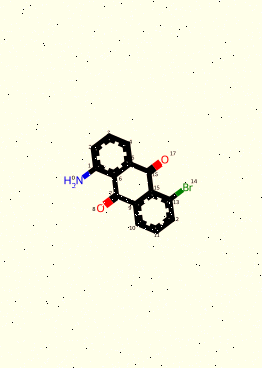 Nc1cccc2c1C(=O)c1cccc(Br)c1C2=O